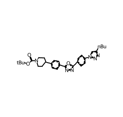 CCCCc1cn(-c2ccc(-c3nnc(-c4ccc(C5CCN(C(=O)OC(C)(C)C)CC5)cc4)o3)cc2)nn1